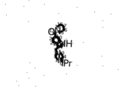 CC(C)N1CCN(Cc2c[nH]c3cc(C(=O)N4CCCCC4)ccc23)CC1